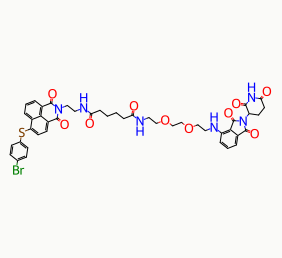 O=C(CCCCC(=O)NCCN1C(=O)c2cccc3c(Sc4ccc(Br)cc4)ccc(c23)C1=O)NCCOCCOCCNc1cccc2c1C(=O)N(C1CCC(=O)NC1=O)C2=O